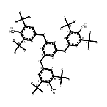 CC(C)(C)c1cc(Cc2cc(Cc3cc(C(C)(C)C)c(O)c(C(C)(C)C)c3)cc(Cc3cc(C(C)(C)C)c(O)c(C(C)(C)C)c3)c2)cc(C(C)(C)C)c1O